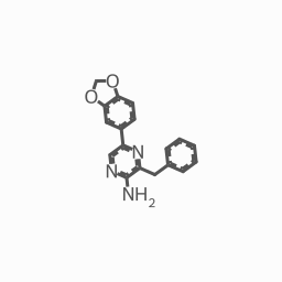 Nc1ncc(-c2ccc3c(c2)OCO3)nc1Cc1ccccc1